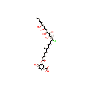 CC/C=C/[C@@H](O)C[C@H](O)CC(O)[C@@H](O)[C@H](O)[C@H](C)/C(Cl)=C/C=C/C=C(C)/C=C/C=C/C(=O)O[C@@H]1C[C@@H](C(=O)O)CC[C@@H]1O